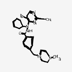 CN1CCN(Cc2ccc(C(=O)NN(c3nc(C#N)ncc3Br)C3CCCCC3)cc2)CC1